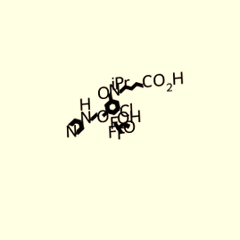 CC(C)N(CCCCCC(=O)O)C(=O)c1cc(Cl)cc(OCCNc2ccncc2)c1.O=C(O)C(F)(F)F